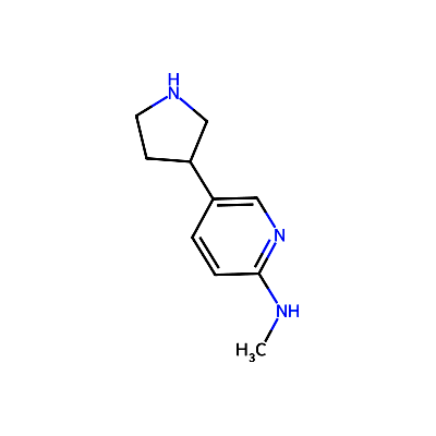 CNc1ccc(C2CCNC2)cn1